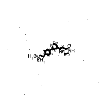 CN(C)CCc1ccc(-c2cc(-c3cc4n(n3)CCNC4=O)ccn2)cc1